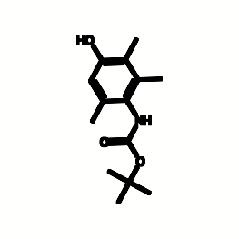 Cc1cc(O)c(C)c(C)c1NC(=O)OC(C)(C)C